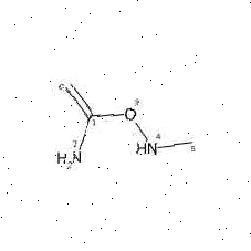 C=C(N)ONC